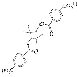 CC1(C)C(OC(=O)c2ccc(C(=O)O)cc2)C(C)(C)C1OC(=O)c1ccc(C(=O)O)cc1